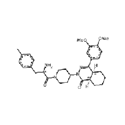 COc1ccc(C2=NN(C3CCN(C(=O)[C@H](N)Cc4ccc(C)cc4)CC3)C(=O)[C@@H]3CCCC[C@H]23)cc1OC